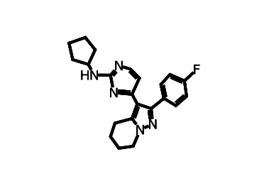 Fc1ccc(-c2nn3c(c2-c2ccnc(NC4CCCC4)n2)CCCC3)cc1